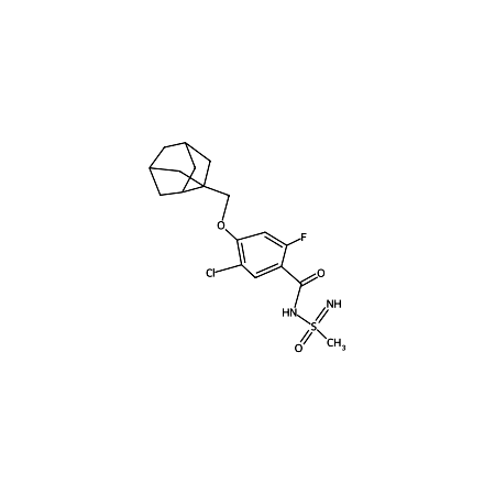 CS(=N)(=O)NC(=O)c1cc(Cl)c(OCC23CC4CC(CC2C4)C3)cc1F